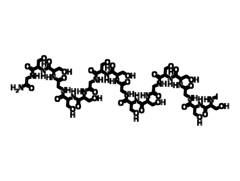 NC(=O)CNC(=O)C(CO)NC(=O)C(CO)NC(=O)CNC(=O)C(CO)NC(=O)C(CO)NC(=O)CNC(=O)C(CO)NC(=O)C(CO)NC(=O)CNC(=O)C(CO)NC(=O)C(CO)NC(=O)CNC(=O)C(CO)NC(=O)C(CO)NC(=O)CNC(=O)C(CO)NC(=O)C(CO)NI